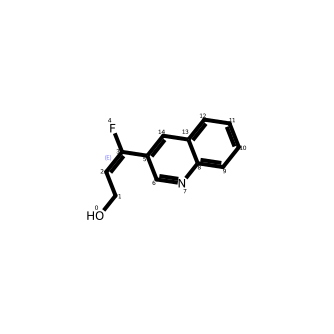 OC/C=C(/F)c1cnc2ccccc2c1